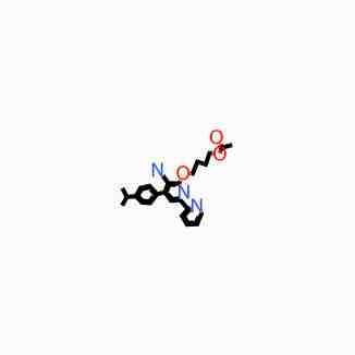 CC(=O)OCCCCOc1nc(-c2ccccn2)cc(-c2ccc(C(C)C)cc2)c1C#N